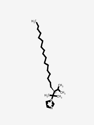 CCCCCCCCCCCCCCCCC[C@@H](C(C)C)C(C)(C)n1ccnc1